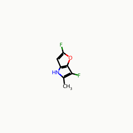 Cc1[nH]c2cc(F)oc2c1F